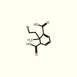 CC1(CCBr)C(C(=O)O)=CC=CC1C(=O)O